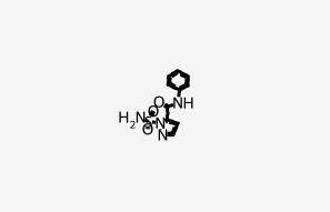 NS(=O)(=O)n1nccc1C(=O)Nc1ccccc1